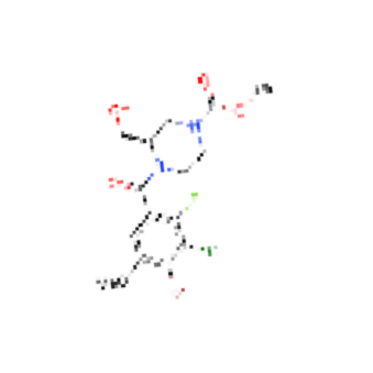 COc1cc(C(=O)N2CCN(C(=O)OC(C)(C)C)C[C@@H]2CO)c(F)c(Cl)c1Br